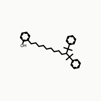 CC(C)(c1ccccc1)C(CCCCCCCCCc1ccccc1O)C(C)(C)c1ccccc1